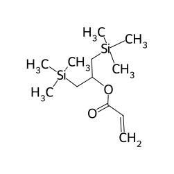 C=CC(=O)OC(C[Si](C)(C)C)C[Si](C)(C)C